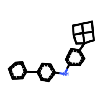 c1ccc(-c2ccc(Nc3ccc(C45CC6CC7CC(C4)C765)cc3)cc2)cc1